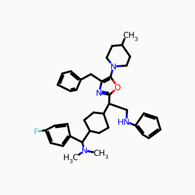 CC1CCN(c2oc(C(CNc3ccccc3)C3CCC(C(c4ccc(F)cc4)N(C)C)CC3)nc2Cc2ccccc2)CC1